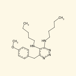 CCCCCNc1nnnc(Cc2ccc(OC)cc2)c1NCCCCC